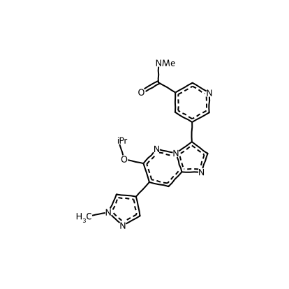 CNC(=O)c1cncc(-c2cnc3cc(-c4cnn(C)c4)c(OC(C)C)nn23)c1